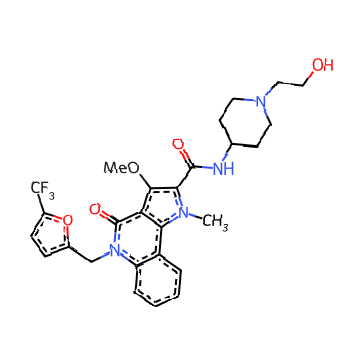 COc1c(C(=O)NC2CCN(CCO)CC2)n(C)c2c1c(=O)n(Cc1ccc(C(F)(F)F)o1)c1ccccc21